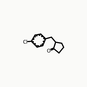 O=C1CCCC1Cc1ccc(Cl)cc1